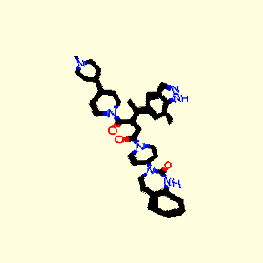 Cc1cc(C(C)C(CC(=O)N2CCC(N3CCc4ccccc4NC3=O)CC2)C(=O)N2CCC(C3CCN(C)CC3)CC2)cc2cn[nH]c12